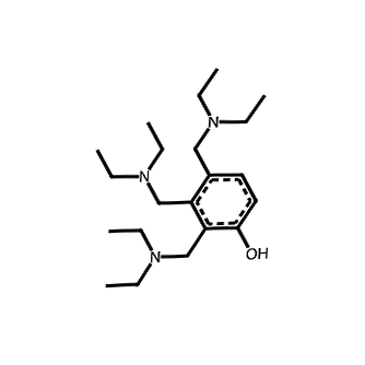 CCN(CC)Cc1ccc(O)c(CN(CC)CC)c1CN(CC)CC